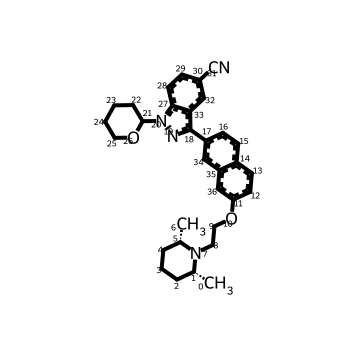 C[C@@H]1CCC[C@H](C)N1CCOc1ccc2ccc(-c3nn(C4CCCCO4)c4ccc(C#N)cc34)cc2c1